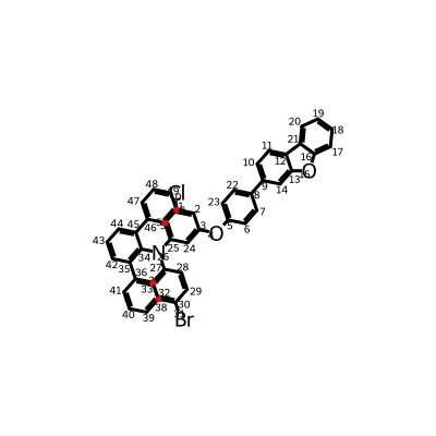 Clc1cc(Oc2ccc(-c3ccc4c(c3)oc3ccccc34)cc2)cc(N(c2ccc(Br)cc2)c2c(-c3ccccc3)cccc2-c2ccccc2)c1